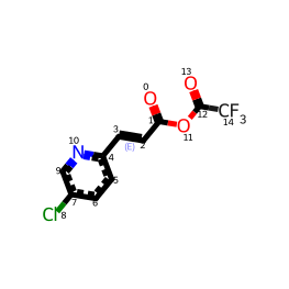 O=C(/C=C/c1ccc(Cl)cn1)OC(=O)C(F)(F)F